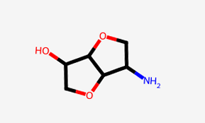 NC1COC2C(O)COC12